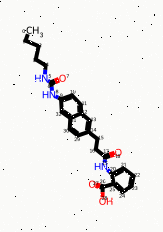 CCCCCNC(=O)Nc1ccc2cc(CCC(=O)Nc3ccccc3C(=O)O)ccc2c1